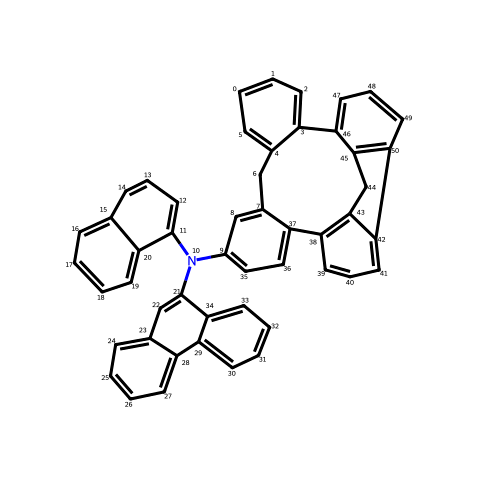 c1ccc2c(c1)Cc1cc(N(c3cccc4ccccc34)c3cc4ccccc4c4ccccc34)ccc1-c1cccc3c1Cc1c-2cccc1-3